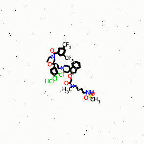 CN(CCCCNS(C)(=O)=O)C(=O)CO[C@H]1Cc2ccccc2C12CCN(CC[C@]1(c3ccc(Cl)c(Cl)c3)CN(C(=O)c3cc(C(F)(F)F)cc(C(F)(F)F)c3)CCO1)CC2.Cl